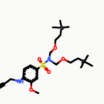 C#CCNc1ccc(S(=O)(=O)N(COCC[Si](C)(C)C)COCC[Si](C)(C)C)cc1OC